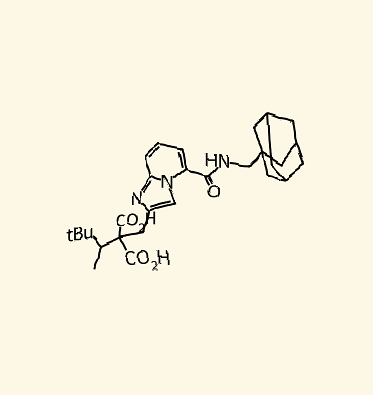 CC(C(C)(C)C)C(Cc1cn2c(C(=O)NCC34CC5CC(CC(C5)C3)C4)cccc2n1)(C(=O)O)C(=O)O